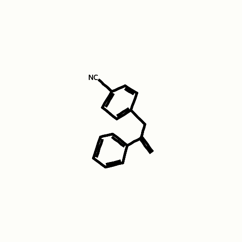 C=C(Cc1ccc(C#N)cc1)c1ccccc1